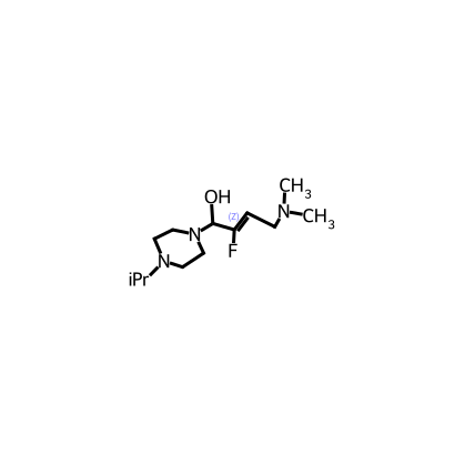 CC(C)N1CCN(C(O)/C(F)=C/CN(C)C)CC1